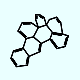 C1=CC23CC=Cc4cccc(c42)C2=Cc4ccccc4C4=CC=CC3(C=C1)C42